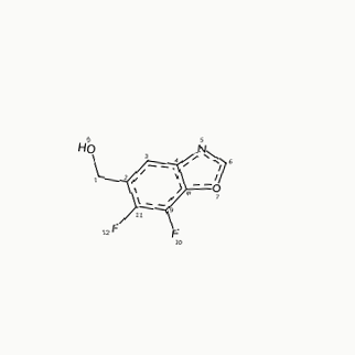 OCc1cc2ncoc2c(F)c1F